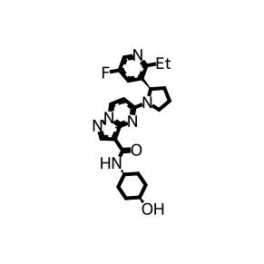 CCc1ncc(F)cc1[C@H]1CCCN1c1ccn2ncc(C(=O)N[C@H]3CC[C@H](O)CC3)c2n1